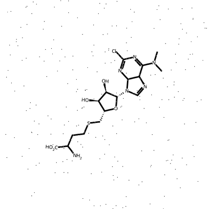 CN(C)C1=NC(Cl)=NC2C1N=CN2[C@@H]1O[C@H](CSCCC(N)C(=O)O)[C@@H](O)[C@H]1O